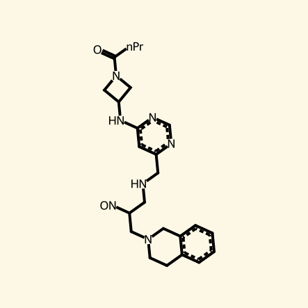 CCCC(=O)N1CC(Nc2cc(CNCC(CN3CCc4ccccc4C3)N=O)ncn2)C1